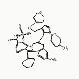 COc1ccc2c(c1)C=C(c1c(CON3CCOCC3)cnn1C1CCN(C)CC1)Cn1c-2c(C2CCCCC2)c2ccc(C(=O)NS(=O)(=O)C(C)C)cc21